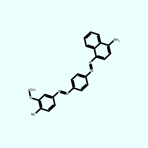 CCCCCCCCOc1cc(N=Nc2ccc(N=Nc3ccc(N)c4ccccc34)cc2)ccc1C#N